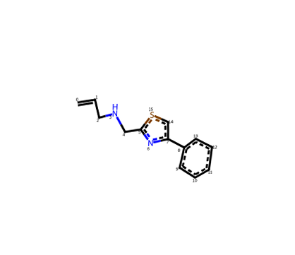 C=CCNCc1nc(-c2ccccc2)cs1